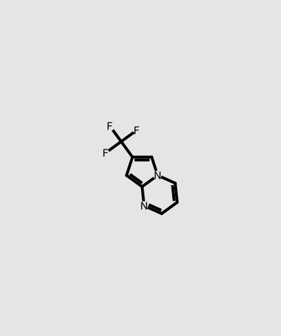 FC(F)(F)c1cc2ncccn2c1